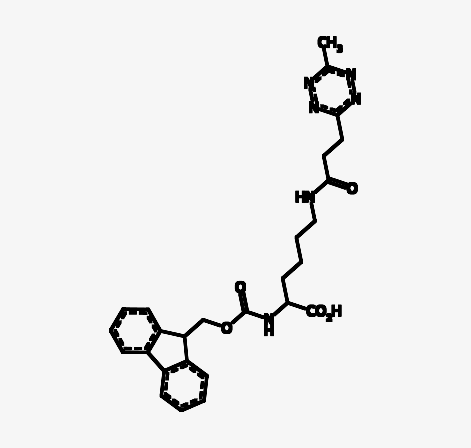 Cc1nnc(CCC(=O)NCCCCC(NC(=O)OCC2c3ccccc3-c3ccccc32)C(=O)O)nn1